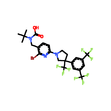 CC(C)(C)N(Cc1ccc(N2CCC(c3cc(C(F)(F)F)cc(C(F)(F)F)c3)(C(F)(F)F)C2)nc1Br)C(=O)O